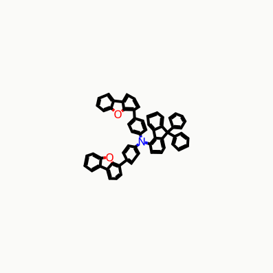 c1ccc(C2(c3ccccc3)c3ccccc3-c3c(N(c4ccc(-c5cccc6c5oc5ccccc56)cc4)c4ccc(-c5cccc6c5oc5ccccc56)cc4)cccc32)cc1